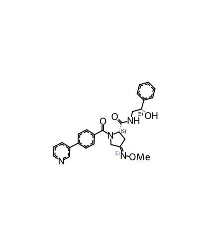 CO/N=C1\C[C@@H](C(=O)NC[C@@H](O)c2ccccc2)N(C(=O)c2ccc(-c3cccnc3)cc2)C1